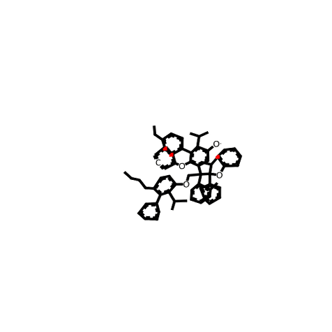 CCCCc1ccc(OCC(c2ccccc2C)(c2cc([O])c(C(C)C)c(-c3ccc(CC)cc3)c2Oc2ccccc2)C(Oc2ccccc2)(c2ccccc2)C(C)C)c(C(C)C)c1-c1ccccc1